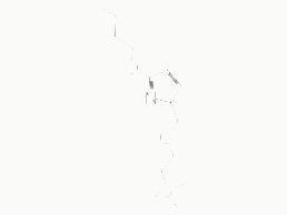 CCCCOC1=NC(COCC[Si](C)(C)C)C=C1